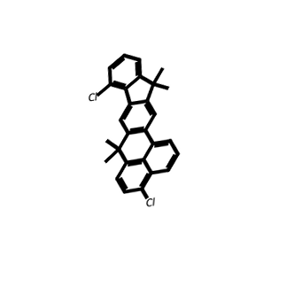 CC1(C)c2cc3c(cc2-c2c(Cl)cccc21)C(C)(C)c1ccc(Cl)c2cccc-3c12